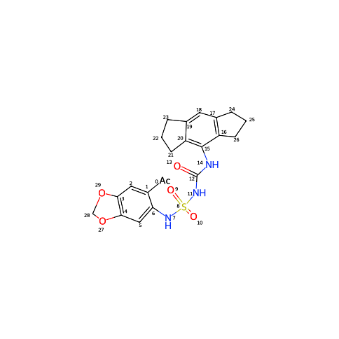 CC(=O)c1cc2c(cc1NS(=O)(=O)NC(=O)Nc1c3c(cc4c1CCC4)CCC3)OCO2